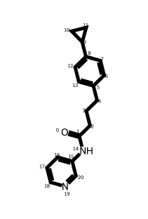 O=C(CCCc1ccc(C2CC2)cc1)Nc1cccnc1